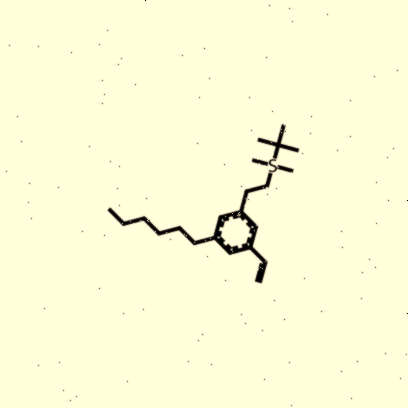 C=Cc1cc(CCCCCC)cc(CCS(C)(C)C(C)(C)C)c1